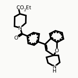 CCOC(=O)C1CCN(C(=O)c2ccc(C3=CC4(CCNCC4)Oc4ccccc43)cc2)CC1